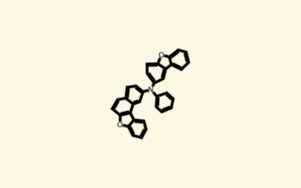 c1ccc(N(c2ccc3oc4ccccc4c3c2)c2ccc3ccc4oc5ccccc5c4c3c2)cc1